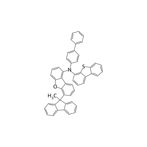 CC1(c2cccc3c2oc2cccc(N(c4ccc(-c5ccccc5)cc4)c4cccc5c4sc4ccccc45)c23)c2ccccc2-c2ccccc21